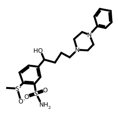 C[S+]([O-])c1ccc(C(O)CCCN2CCN(c3ccccc3)CC2)cc1S(N)(=O)=O